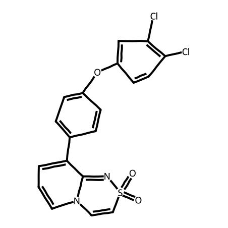 O=S1(=O)C=CN2C=CC=C(c3ccc(Oc4ccc(Cl)c(Cl)c4)cc3)C2=N1